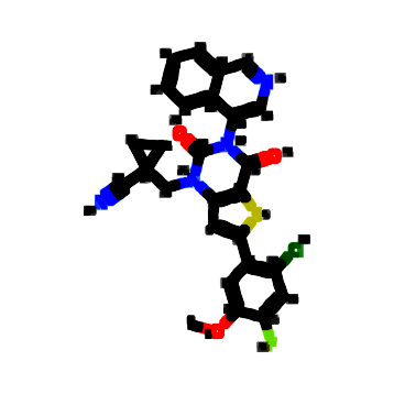 COc1cc(-c2cc3c(s2)c(=O)n(-c2cncc4ccccc24)c(=O)n3CC2(C#N)CC2)c(Cl)cc1F